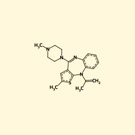 C=C(C)N1c2ccccc2N=C(N2CCN(C)CC2)c2cc(C)sc21